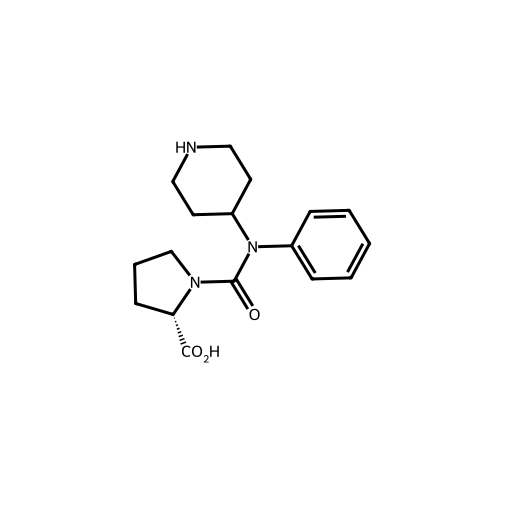 O=C(O)[C@@H]1CCCN1C(=O)N(c1ccccc1)C1CCNCC1